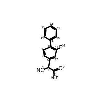 CCC(=O)C(C#N)c1ccc(-c2ccccc2)c(F)c1